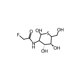 O=C(CF)NC1C(O)SC(CO)[C@@H](O)[C@@H]1O